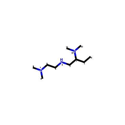 CCC(CNCCN(C)C)N(C)C